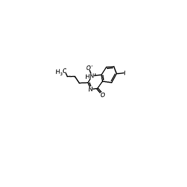 CCCCC1=NC(=O)c2cc(I)ccc2[NH+]1[O-]